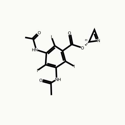 CC(=O)Nc1c(I)c(NC(C)=O)c(I)c(C(=O)O[C@@H]2C=N2)c1I